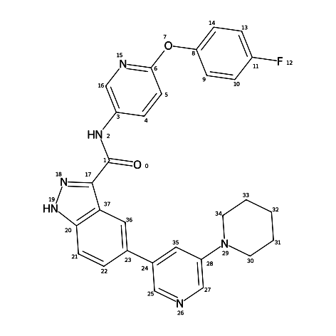 O=C(Nc1ccc(Oc2ccc(F)cc2)nc1)c1n[nH]c2ccc(-c3cncc(N4CCCCC4)c3)cc12